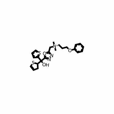 C[N+](C)(CCCOc1ccccc1)Cc1nnc(C(O)(c2cccs2)C2CC=CS2)o1